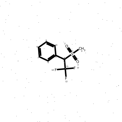 CS(=O)(=O)[C](c1ccccc1)C(F)(F)F